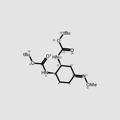 CON=C1CC[C@@H](NC(=O)OC(C)(C)C)[C@@H](NC(=O)OC(C)(C)C)C1